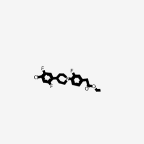 CCOC(=O)Cc1ccc(N2CCC(c3cc(F)c(Cl)cc3F)CC2)c(F)c1